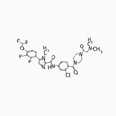 CN(C)CC(=O)N1CCN(C(=O)c2ccc(NC(=O)c3ncc(-c4ccc(OC(F)F)c(F)c4F)n3C)cc2Cl)CC1